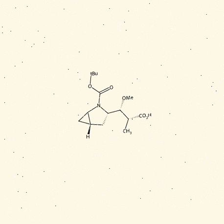 CO[C@H]([C@@H](C)C(=O)O)[C@@H]1C[C@@H]2CC2N1C(=O)OC(C)(C)C